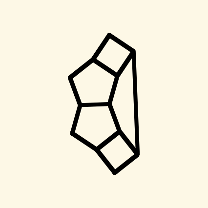 C1C2CC3C4CC5CC1C(C23)C54